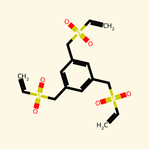 C=CS(=O)(=O)Cc1cc(CS(=O)(=O)C=C)cc(CS(=O)(=O)C=C)c1